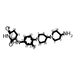 NC1CCN(C2CCN(c3ccc(N[C@@H]4CCC(=O)NC4=O)cc3F)CC2)CC1